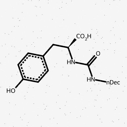 CCCCCCCCCCNC(=O)N[C@@H](Cc1ccc(O)cc1)C(=O)O